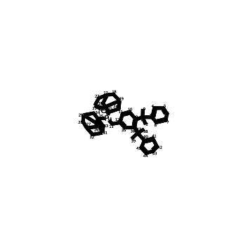 CC(C)(c1ccccc1)c1ccc(CP(C23CC4CC(CC(C4)C2)C3)C23CC4CC(CC(C4)C2)C3)cc1C(C)(C)c1ccccc1